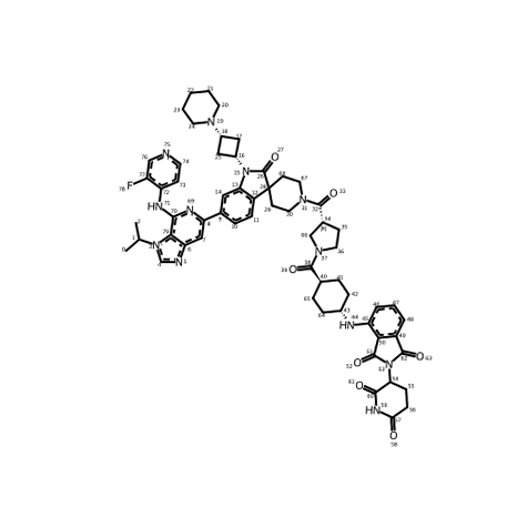 CC(C)n1cnc2cc(-c3ccc4c(c3)N([C@H]3C[C@@H](N5CCCCC5)C3)C(=O)C43CCN(C(=O)[C@@H]4CCN(C(=O)[C@H]5CC[C@H](Nc6cccc7c6C(=O)N(C6CCC(=O)NC6=O)C7=O)CC5)C4)CC3)nc(Nc3ccncc3F)c21